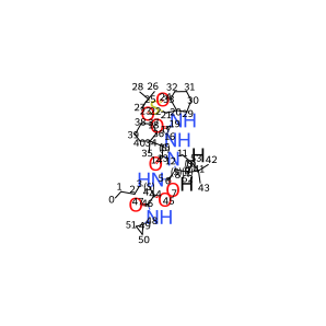 CCCC[C@H](NC(=O)[C@@H]1[C@@H]2[C@H](CN1C(=O)[C@@H](NC(=O)NC1(CS(=O)(=O)C(C)(C)C)CCCCC1)C1(C)CCCCC1)C2(C)C)C(=O)C(=O)NC1CC1